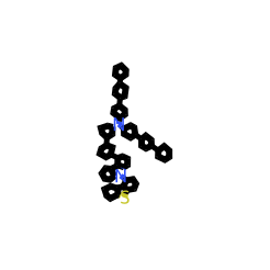 c1ccc(-c2ccc(-c3ccc(N(c4ccc(-c5ccc(-c6ccccc6)cc5)cc4)c4cccc(-c5cccc(-c6cccc7c6c6ccccc6n7-c6cccc7sc8ccccc8c67)c5)c4)cc3)cc2)cc1